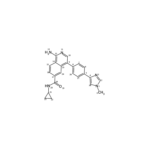 Cn1cnc(-c2ccc(-c3cnc(N)c4ccc(C(=O)NC5CC5)cc34)cc2)c1